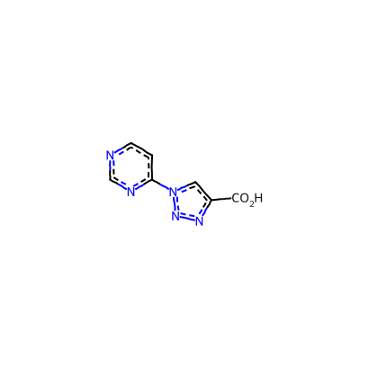 O=C(O)c1cn(-c2ccncn2)nn1